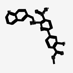 COC(=O)c1ccc(-c2ccc([N+](=O)[O-])c(NCc3ccc4ncccc4c3)n2)cc1F